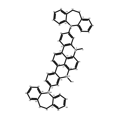 CN1c2cc(N3c4ccccc4CCc4ccccc43)ccc2-c2ccc3c4c(ccc1c24)N(C)c1cc(N2c4ccccc4CCc4ccccc42)ccc1-3